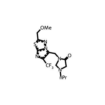 CCCN1CC(=O)N(Cc2c(C(F)(F)F)nc3sc(COC)nn23)C1